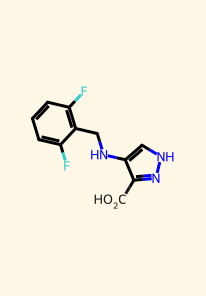 O=C(O)c1n[nH]cc1NCc1c(F)cccc1F